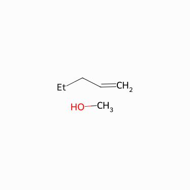 C=CCCC.CO